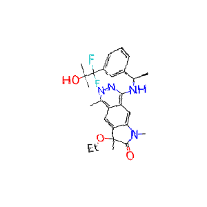 CCOC1(C)C(=O)N(C)c2cc3c(N[C@H](C)c4cccc(C(F)(F)C(C)(C)O)c4)nnc(C)c3cc21